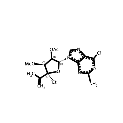 C=C(C)[C@]1(CC)O[C@@H](n2cnc3c(Cl)nc(N)nc32)[C@H](OC(C)=O)[C@@H]1OC